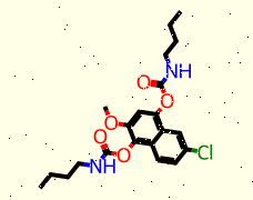 CCCCNC(=O)Oc1cc(OC)c(OC(=O)NCCCC)c2ccc(Cl)cc12